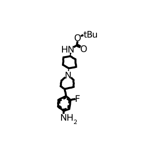 CC(C)(C)OC(=O)N[C@H]1CC[C@H](N2CCC(c3ccc(N)cc3F)CC2)CC1